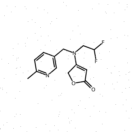 Cc1ccc(CN(CC(F)F)C2=CC(=O)OC2)cn1